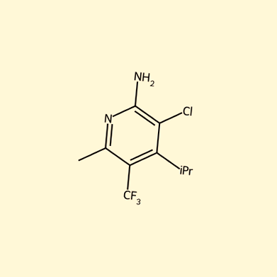 Cc1nc(N)c(Cl)c(C(C)C)c1C(F)(F)F